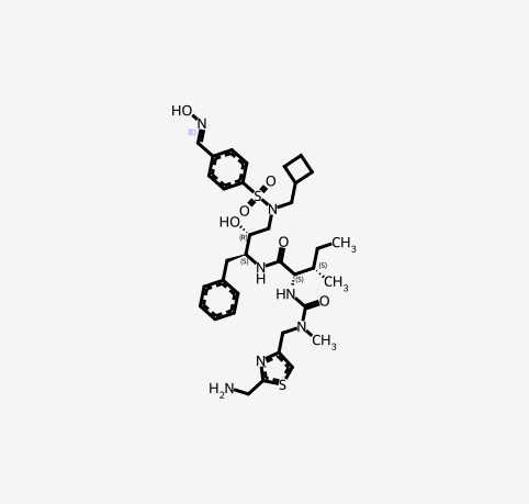 CC[C@H](C)[C@H](NC(=O)N(C)Cc1csc(CN)n1)C(=O)N[C@@H](Cc1ccccc1)[C@H](O)CN(CC1CCC1)S(=O)(=O)c1ccc(/C=N/O)cc1